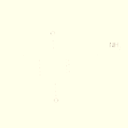 COc1cc(CCN)c(OC)c2c1CCC2